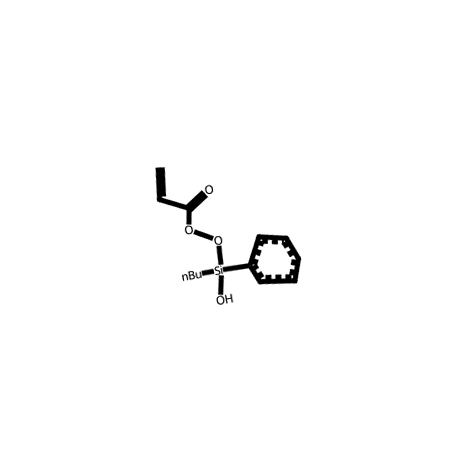 C=CC(=O)OO[Si](O)(CCCC)c1ccccc1